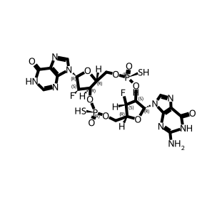 Nc1nc2c(ncn2[C@@H]2O[C@@H]3CO[P@@](=O)(S)O[C@H]4[C@H](F)[C@H](n5cnc6c(=O)[nH]cnc65)O[C@@H]4CO[P@@](=O)(S)O[C@@H]2[C@H]3F)c(=O)[nH]1